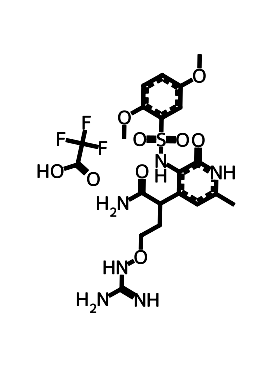 COc1ccc(OC)c(S(=O)(=O)Nc2c(C(CCONC(=N)N)C(N)=O)cc(C)[nH]c2=O)c1.O=C(O)C(F)(F)F